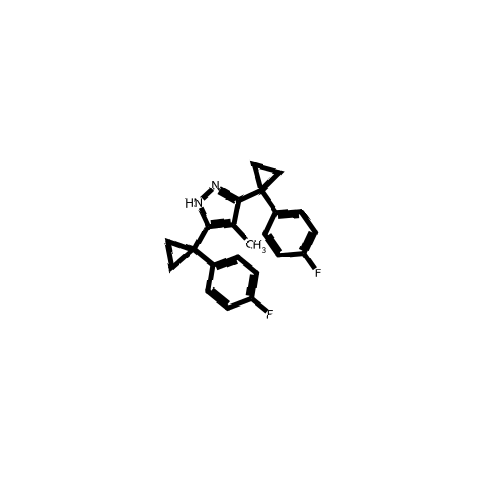 Cc1c(C2(c3ccc(F)cc3)CC2)n[nH]c1C1(c2ccc(F)cc2)CC1